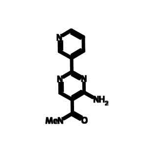 CNC(=O)c1cnc(-c2cccnc2)nc1N